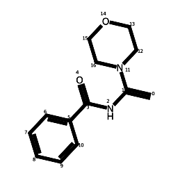 C=C(NC(=O)c1ccccc1)N1CCOCC1